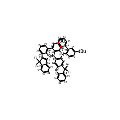 CC(C)(C)c1ccc(N2c3cc4c(cc3B3c5c(cc(C(C)(C)C)cc52)-c2cccc5c6c(n3c25)-c2ccccc2C6(C)C)Sc2ccccc2C4(C)C)c(-c2ccccc2)c1